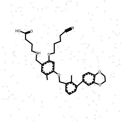 Cc1cc(CNCCCC(=O)O)c(OCCCCC#N)cc1OCc1cccc(-c2ccc3c(c2)OCCO3)c1C